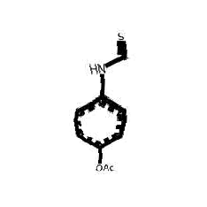 CC(=O)Oc1ccc(N[C]=S)cc1